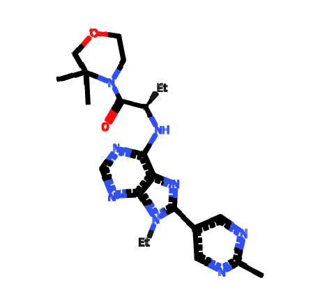 CC[C@@H](Nc1ncnc2c1nc(-c1cnc(C)nc1)n2CC)C(=O)N1CCOCC1(C)C